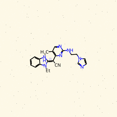 CCN1/C(=C(\C#N)c2nc(NCCn3ccnc3)ncc2C)Nc2ccccc21